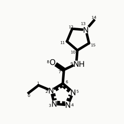 CCn1nnnc1C(=O)NC1CCN(C)C1